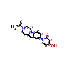 CC(C)N1CCc2cc3cc(-n4ccc(O)cc4=O)ccc3n2CC1